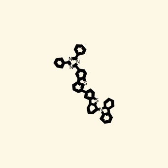 C1=CC2c3cc(-c4cccc5c4sc4ccc(-c6nc(-c7ccccc7)nc(-c7ccccc7)n6)cc45)ccc3SC2C(N2c3ccccc3C3C=CC=CC32)=C1